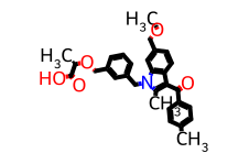 COCc1ccc2c(C(=O)c3ccc(C)cc3)c(C)n(Cc3cccc(CO[C@H](C)C(=O)O)c3)c2c1